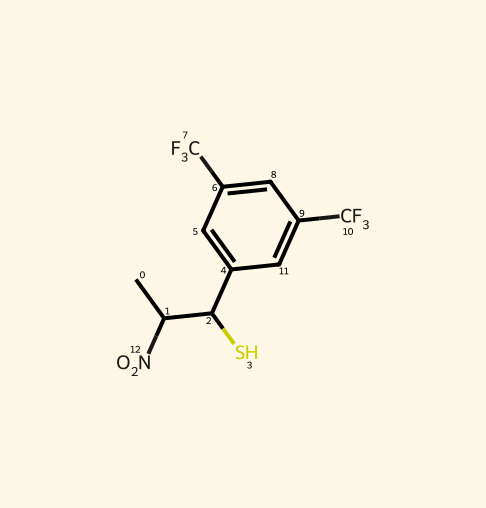 CC(C(S)c1cc(C(F)(F)F)cc(C(F)(F)F)c1)[N+](=O)[O-]